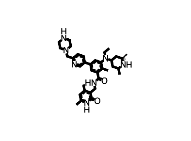 CCN(c1cc(-c2ccc(CN3CCNCC3)nc2)cc(C(=O)NCc2c(C)cc(C)[nH]c2=O)c1C)C1CC(C)N[C@H](C)C1